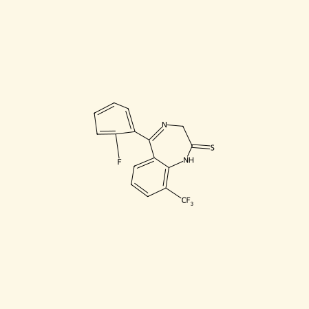 Fc1ccccc1C1=NCC(=S)Nc2c1cccc2C(F)(F)F